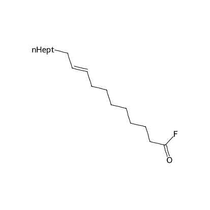 CCCCCCCCC=CCCCCCCCC(=O)F